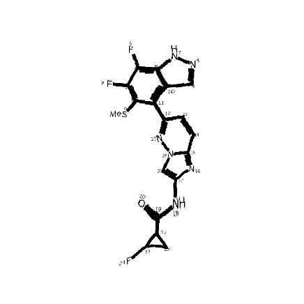 CSc1c(F)c(F)c2[nH]ncc2c1-c1ccc2nc(NC(=O)C3CC3F)cn2n1